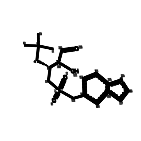 CC(C)(C)C[C@@H](CS(=O)(=O)Cc1ccc2sccc2c1)N(O)C=O